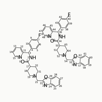 O=C(NC(c1ccc(F)cc1)c1ccccn1)C1CCN(Cc2nc3ccccc3o2)CC1.O=C(NC(c1ccc(F)cc1)c1ccccn1)C1CCN(Cc2nc3ccccc3o2)CC1